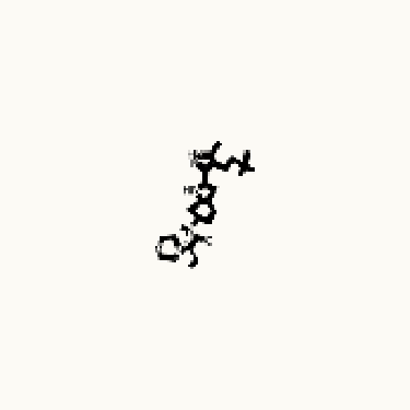 CC[C@H](C(=O)N(C)C1C=Cc2cc(-c3n[nH]c(C)c3CCC(C)(C)C)[nH]c2C1)N1CCOCC1